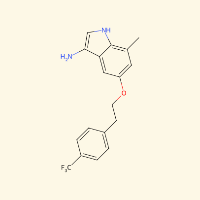 Cc1cc(OCCc2ccc(C(F)(F)F)cc2)cc2c(N)c[nH]c12